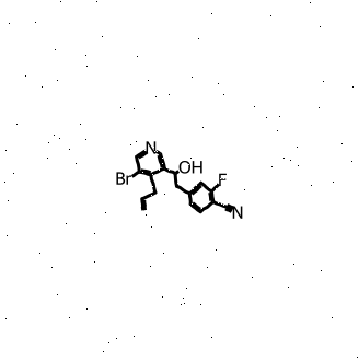 C=CCc1c(Br)cncc1C(O)Cc1ccc(C#N)c(F)c1